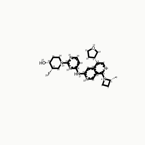 C[C@@H]1CCN1c1ncc([C@@H]2CCOC2)c2cc(Nc3ccnc(N4CC[C@@H](O)[C@@H](F)C4)n3)ncc12